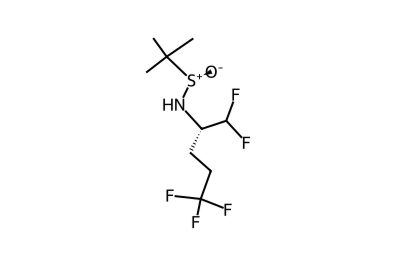 CC(C)(C)[S@@+]([O-])N[C@@H](CCC(F)(F)F)C(F)F